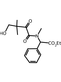 CCOC(=O)C(c1ccccc1)N(C)C(=O)C(=O)C(C)(C)CO